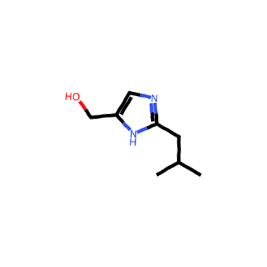 CC(C)Cc1ncc(CO)[nH]1